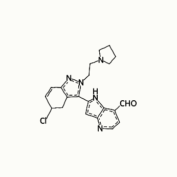 O=Cc1ccnc2cc(-c3c4c(nn3CCN3CCCC3)C=CC(Cl)C4)[nH]c12